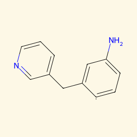 Nc1cc[c]c(Cc2cccnc2)c1